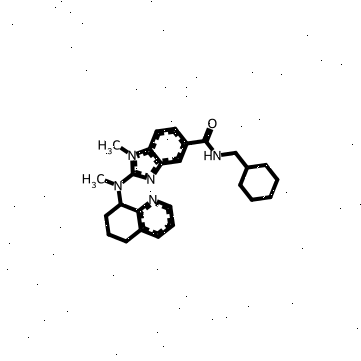 CN(c1nc2cc(C(=O)NCC3CCCCC3)ccc2n1C)C1CCCc2cccnc21